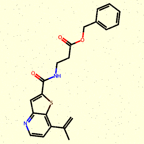 C=C(C)c1ccnc2cc(C(=O)NCCC(=O)OCc3ccccc3)sc12